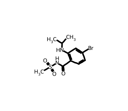 CC(C)Nc1cc(Br)ccc1C(=O)NS(C)(=O)=O